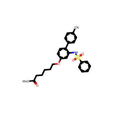 COC(=O)CCCCCOc1ccc(-c2ccc(C#N)cc2)c(NS(=O)(=O)c2ccccc2)c1